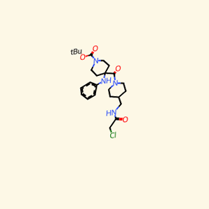 CC(C)(C)OC(=O)N1CCC(Nc2ccccc2)(C(=O)N2CCC(CNC(=O)CCl)CC2)CC1